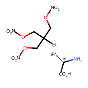 CC(C)[C@H](N)C(=O)O.CCC(CO[N+](=O)[O-])(CO[N+](=O)[O-])CO[N+](=O)[O-]